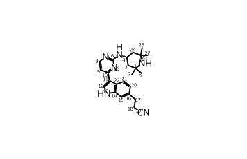 CC1(C)CC(Nc2nccc(-c3c[nH]c4cc(CCC#N)ccc34)n2)CC(C)(C)N1